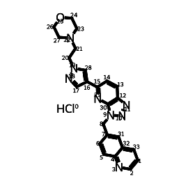 Cl.c1cnc2ccc(Cn3nnc4ccc(-c5cnn(CCN6CCOCC6)c5)nc43)cc2c1